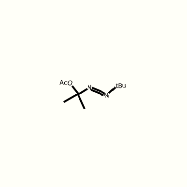 CC(=O)OC(C)(C)N=NC(C)(C)C